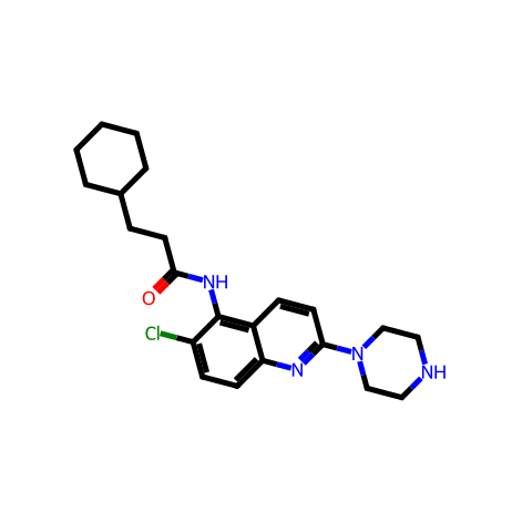 O=C(CCC1CCCCC1)Nc1c(Cl)ccc2nc(N3CCNCC3)ccc12